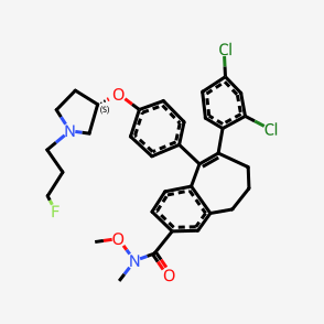 CON(C)C(=O)c1ccc2c(c1)CCCC(c1ccc(Cl)cc1Cl)=C2c1ccc(O[C@H]2CCN(CCCF)C2)cc1